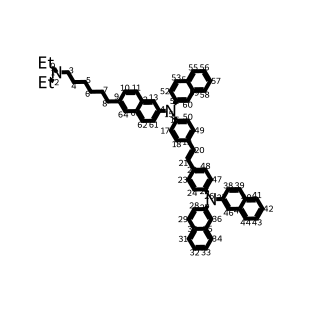 CCN(CC)CCCCCCc1ccc2cc(N(c3ccc(/C=C/c4ccc(N(c5ccc6ccccc6c5)c5ccc6ccccc6c5)cc4)cc3)c3ccc4ccccc4c3)ccc2c1